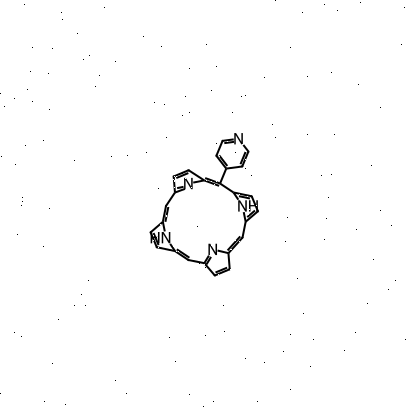 C1=Cc2cc3ccc([nH]3)c(-c3ccncc3)c3nc(cc4ccc(cc1n2)[nH]4)C=C3